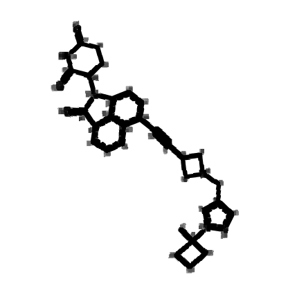 CC1(n2cc(CN3CC(C#Cc4ccc5c6c(cccc46)C(=O)N5C4CCC(=O)NC4=O)C3)cn2)CCC1